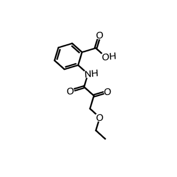 CCOCC(=O)C(=O)Nc1ccccc1C(=O)O